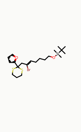 CC(C)(C)[Si](C)(C)OCCCCC=C(Br)CC1(c2ccco2)SCCCS1